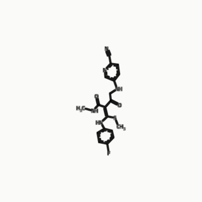 CNC(=O)/C(C(=O)CNc1ccc(C#N)nc1)=C(\Nc1ccc(F)cc1)SC